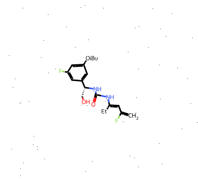 C=C(F)/C=C(\CC)NC(=O)N[C@H](CO)c1cc(F)cc(OCC(C)C)c1